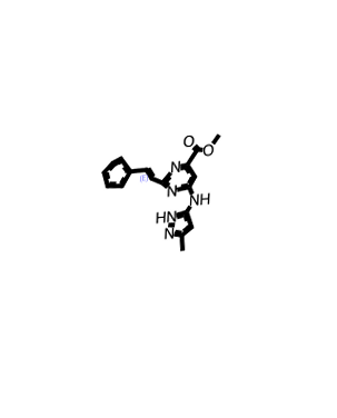 COC(=O)c1cc(Nc2cc(C)n[nH]2)nc(/C=C/c2ccccc2)n1